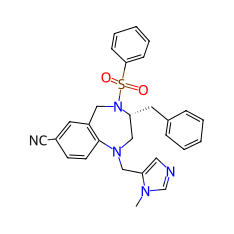 Cn1cncc1CN1C[C@@H](Cc2ccccc2)N(S(=O)(=O)c2ccccc2)Cc2cc(C#N)ccc21